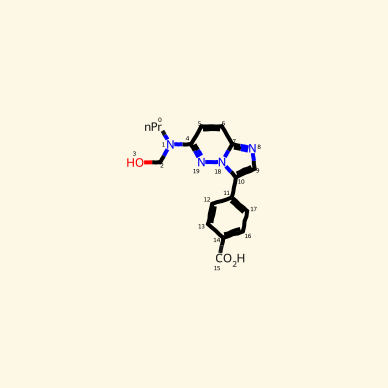 CCCN(CO)c1ccc2ncc(-c3ccc(C(=O)O)cc3)n2n1